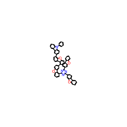 c1ccc(-n2c3ccccc3c3cc(-c4cccc5c4oc4cccc(-c6ccc7oc8cccc(-c9nc(-c%10ccc%11c(c%10)oc%10ccccc%10%11)nc(-c%10ccc%11c(c%10)oc%10ccccc%10%11)n9)c8c7c6)c45)ccc32)cc1